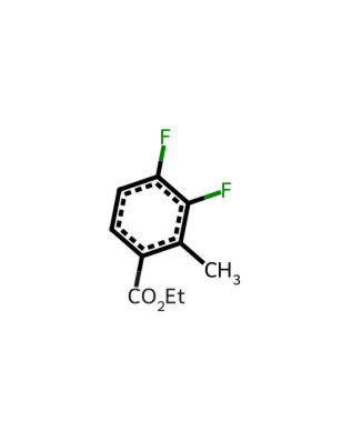 CCOC(=O)c1ccc(F)c(F)c1C